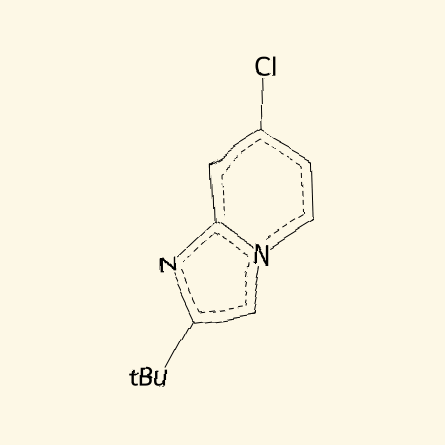 CC(C)(C)c1cn2ccc(Cl)cc2n1